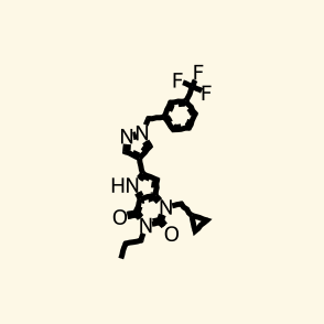 CCCn1c(=O)c2[nH]c(-c3cnn(Cc4cccc(C(F)(F)F)c4)c3)cc2n(CC2CC2)c1=O